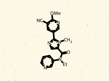 CCN(C(=O)c1cnc(-c2cnc(OC)c(C#N)c2)n1C)c1cccnc1